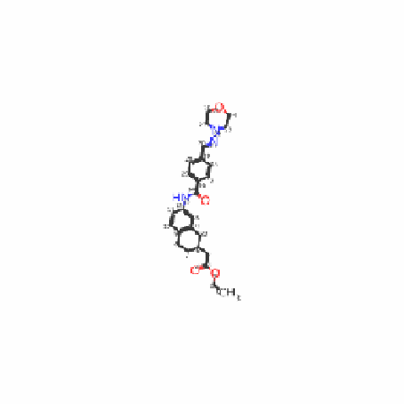 CCOC(=O)CC1CCc2ccc(NC(=O)c3ccc(C=NN4CCOCC4)cc3)cc2C1